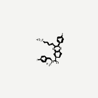 CN(Cc1ccc(F)cc1)C(=O)c1ccc2nc(-c3ccc(F)cc3)c(CCCCC(=O)O)nc2c1